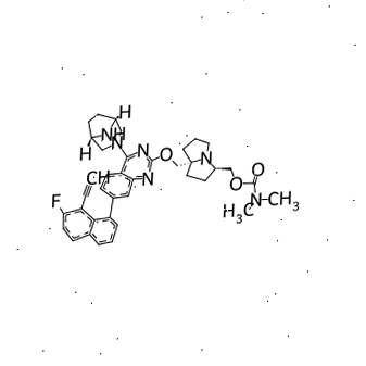 C#Cc1c(F)ccc2cccc(-c3ccc4c(N5C[C@H]6CC[C@@H](C5)N6)nc(OC[C@]56CCCN5[C@@H](COC(=O)N(C)C)CC6)nc4c3)c12